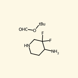 CC(C)(C)OC=O.NC1CCNCC1(F)F